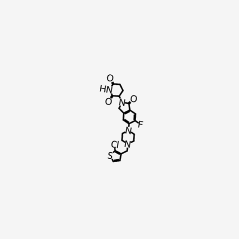 O=C1CCC(N2Cc3cc(N4CCN(Cc5ccsc5Cl)CC4)c(F)cc3C2=O)C(=O)N1